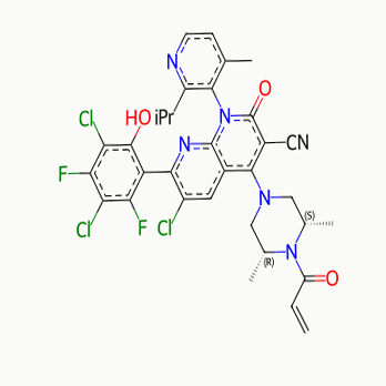 C=CC(=O)N1[C@H](C)CN(c2c(C#N)c(=O)n(-c3c(C)ccnc3C(C)C)c3nc(-c4c(O)c(Cl)c(F)c(Cl)c4F)c(Cl)cc23)C[C@@H]1C